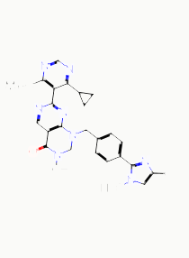 COc1ncnc(C2CC2)c1-c1ncc2c(n1)N(Cc1ccc(-c3nc(C(F)(F)F)cn3C)cc1)CN(C)C2=O